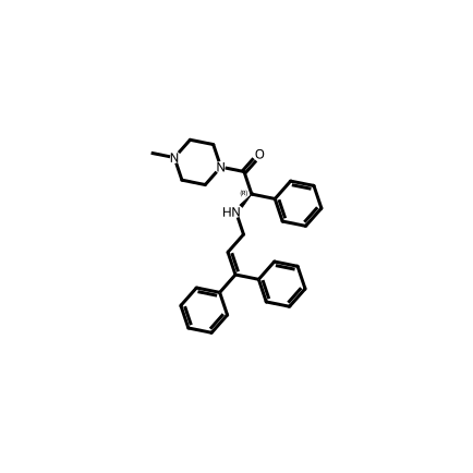 CN1CCN(C(=O)[C@H](NCC=C(c2ccccc2)c2ccccc2)c2ccccc2)CC1